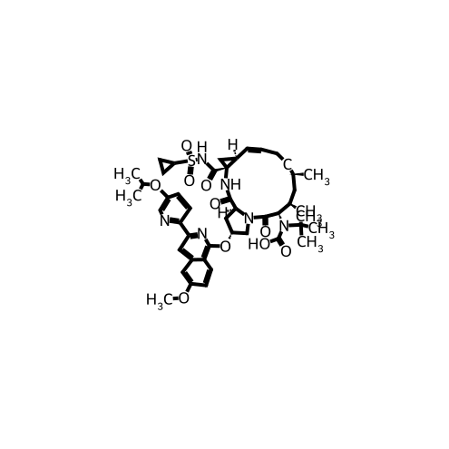 COc1ccc2c(O[C@@H]3C[C@H]4C(=O)N[C@]5(C(=O)NS(=O)(=O)C6CC6)C[C@H]5/C=C\CC[C@@H](C)C[C@@H](C)[C@H](N(C(=O)O)C(C)(C)C)C(=O)N4C3)nc(-c3ccc(OC(C)C)cn3)cc2c1